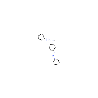 CN(C)C1(N=Nc2ccccc2)C=CC(N=Nc2ccccc2)=CC1